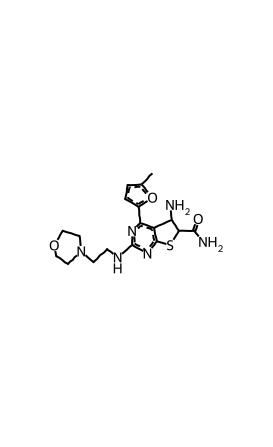 Cc1ccc(-c2nc(NCCN3CCOCC3)nc3c2C(N)C(C(N)=O)S3)o1